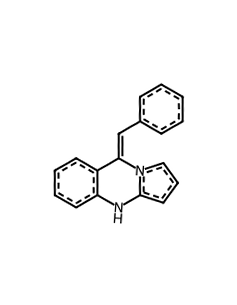 C(=C1c2ccccc2Nc2cccn21)c1ccccc1